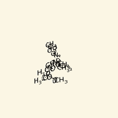 CCOC(=O)c1cccc(CC(=O)N(CC[C@H]2CC[C@@H](N(C(=O)c3ccc(OC)c(OCCCOC)c3)C(C)C)CN2C(=O)OC(C)(C)C)C2CC2)c1